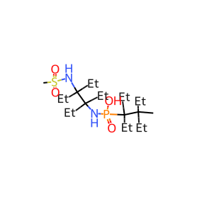 CCC(C)(CC)C(CC)(CC)P(=O)(O)NC(CC)(CC)C(CC)(CC)NS(C)(=O)=O